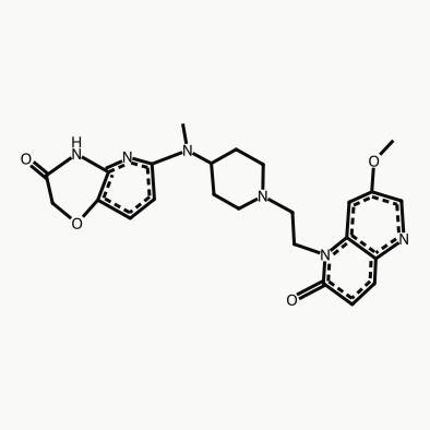 COc1cnc2ccc(=O)n(CCN3CCC(N(C)c4ccc5c(n4)NC(=O)CO5)CC3)c2c1